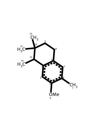 COc1cc2c(cc1C)CCC(C)(C)C2C